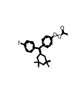 CC(=O)OOc1ccc(C(=C2CC(C)(C)CC(C)(C)C2)c2ccc(F)cc2)cc1